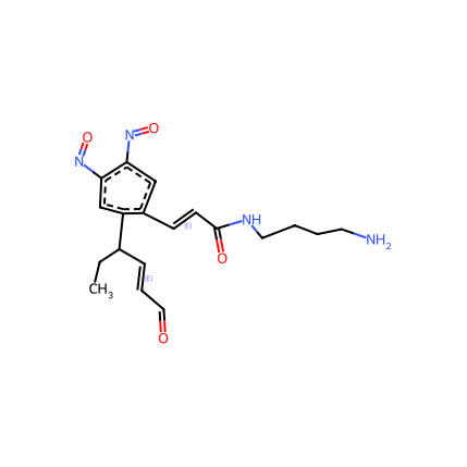 CCC(/C=C/C=O)c1cc(N=O)c(N=O)cc1/C=C/C(=O)NCCCCN